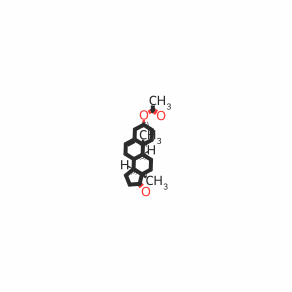 CC(=O)O[C@H]1CC[C@@]2(C)C(=CCC3[C@@H]2CC[C@]2(C)C(=O)CC[C@@H]32)C1